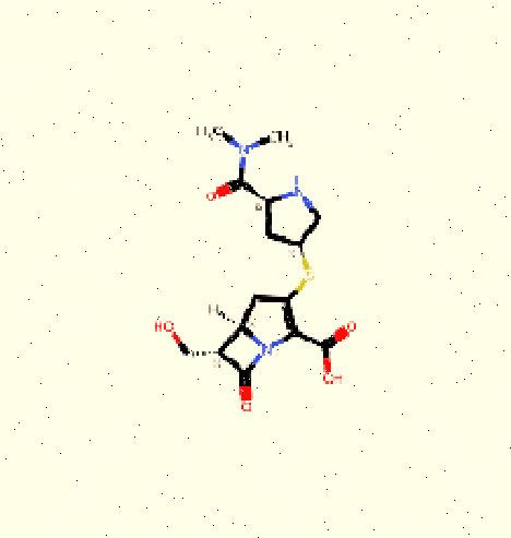 CN(C)C(=O)[C@@H]1C[C@H](SC2=C(C(=O)O)N3C(=O)[C@H](CO)[C@H]3C2)CN1